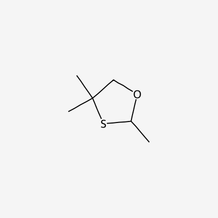 CC1OCC(C)(C)S1